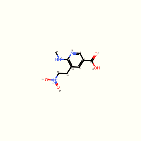 CNc1ncc(C(=O)O)cc1CC[N+](=O)[O-]